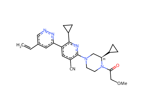 C=Cc1cnnc(-c2cc(C#N)c(N3CCN(C(=O)COC)[C@H](C4CC4)C3)nc2C2CC2)c1